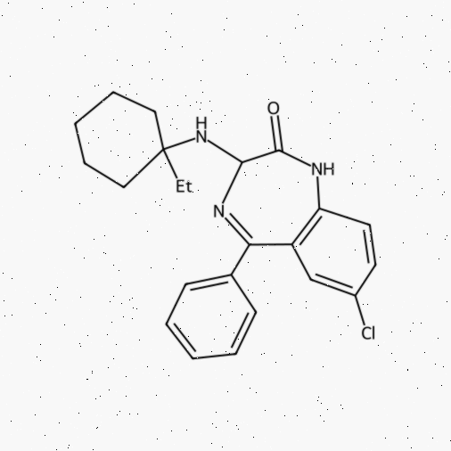 CCC1(NC2N=C(c3ccccc3)c3cc(Cl)ccc3NC2=O)CCCCC1